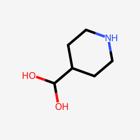 OC(O)C1CCNCC1